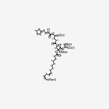 CCCCC/C=C\C/C=C\CCCCCCCC(=O)OC(CCCCCCCCC)(COC(=O)CCC(CCCCCCCC)OC(=O)NCCN1CCCC1)C(=O)OC(CCCCCCCC)CCCCCCCCC